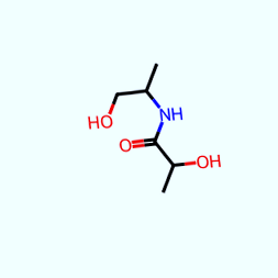 CC(CO)NC(=O)C(C)O